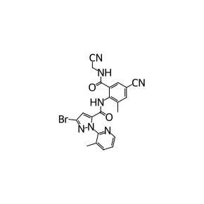 Cc1cccnc1-n1nc(Br)cc1C(=O)Nc1c(C)cc(C#N)cc1C(=O)NCC#N